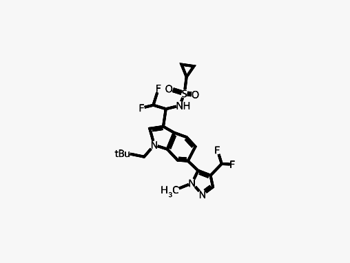 Cn1ncc(C(F)F)c1-c1ccc2c(C(NS(=O)(=O)C3CC3)C(F)F)cn(CC(C)(C)C)c2c1